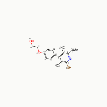 [C-]#[N+]c1c(OC)nc(S)c(C#N)c1-c1ccc(OCCO)cc1